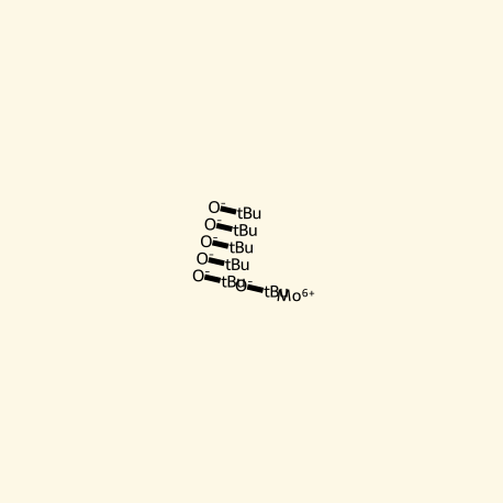 CC(C)(C)[O-].CC(C)(C)[O-].CC(C)(C)[O-].CC(C)(C)[O-].CC(C)(C)[O-].CC(C)(C)[O-].[Mo+6]